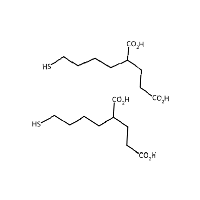 O=C(O)CCC(CCCCS)C(=O)O.O=C(O)CCC(CCCCS)C(=O)O